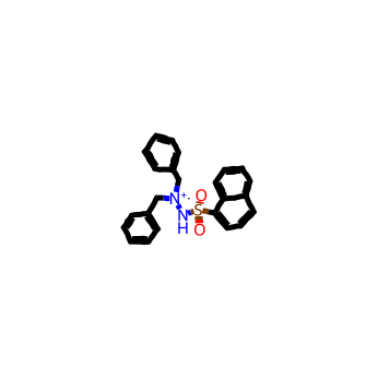 O=S(=O)(N[N+](Cc1ccccc1)Cc1ccccc1)c1cccc2ccccc12